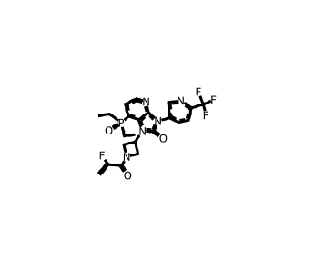 C=C(F)C(=O)N1CC(n2c(=O)n(-c3ccc(C(F)(F)F)nc3)c3nccc(P(=O)(CC)CC)c32)C1